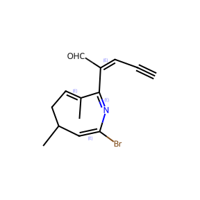 C#C\C=C(C=O)/C1=N/C(Br)=C\C(C)C\C=C\1C